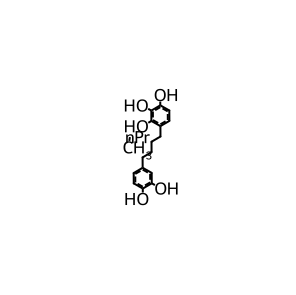 CCCC.Oc1ccc(CCCCc2ccc(O)c(O)c2O)cc1O